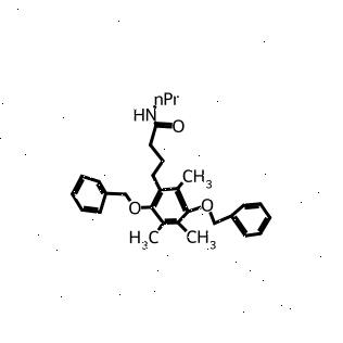 CCCNC(=O)CCCc1c(C)c(OCc2ccccc2)c(C)c(C)c1OCc1ccccc1